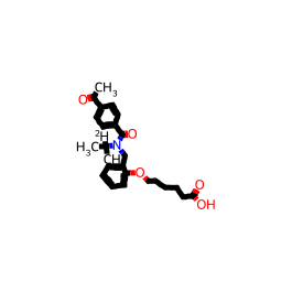 [2H]C(C)(C)N(Cc1ccccc1OCCCCCC(=O)O)C(=O)c1ccc(C(C)=O)cc1